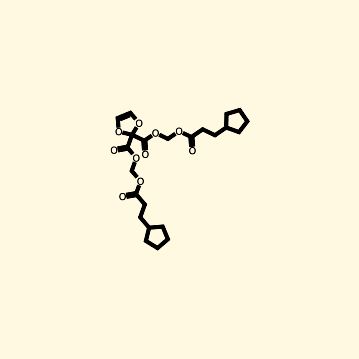 O=C(CCC1CCCC1)OCOC(=O)C1(C(=O)OCOC(=O)CCC2CCCC2)OC=CO1